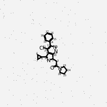 O=C(CC1N=C(C2CC2)c2c1nnc(-c1ccccc1)c2Cl)N1CCCC1